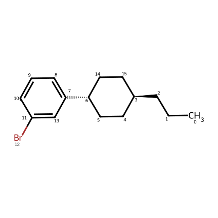 CCC[C@H]1CC[C@H](c2cc[c]c(Br)c2)CC1